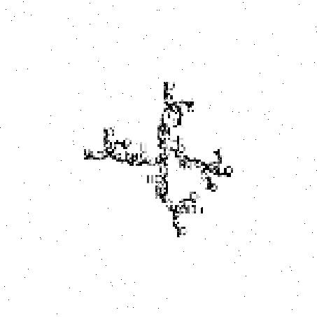 CC(C)COCC(COCc1cn(CC(O)COCC(COCC(O)Cn2cc(COCC(COCC3CO3)(COCC3CO3)COCC3CO3)nn2)(COCC(O)Cn2cc(COCC(COCC3CO3)(COCC3CO3)COCC3CO3)nn2)COCC(O)Cn2cc(COCC(COCC3CO3)(COCC3CO3)COCC3CO3)nn2)nn1)(COCC1CO1)COCC1CO1